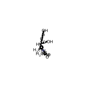 Cc1cc(NC(CCOCCOCCO)COCCO)ccc1/N=N/c1sc([N+](=O)[O-])c[n+]1C